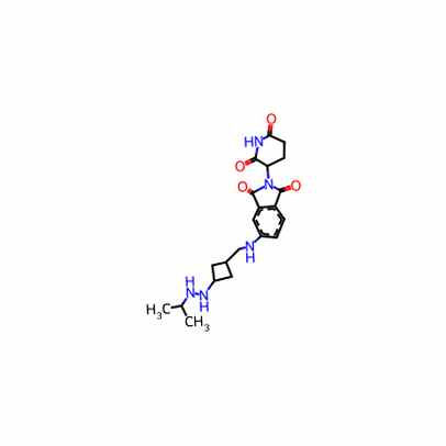 CC(C)NNC1CC(CNc2ccc3c(c2)C(=O)N(C2CCC(=O)NC2=O)C3=O)C1